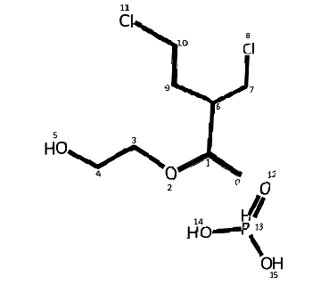 CC(OCCO)C(CCl)CCCl.O=[PH](O)O